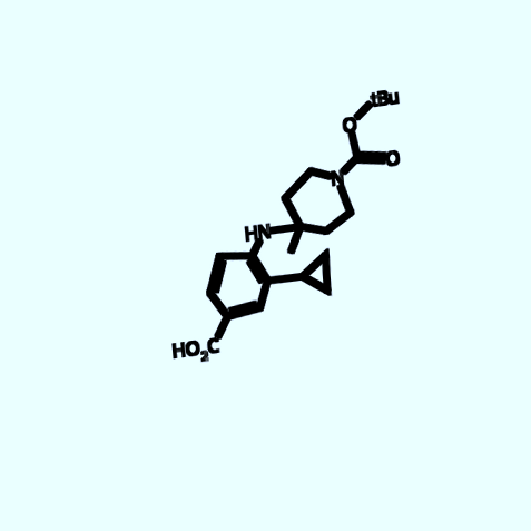 CC1(Nc2ccc(C(=O)O)cc2C2CC2)CCN(C(=O)OC(C)(C)C)CC1